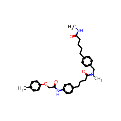 CNC(=O)CCCCc1ccc(CN(C)C(=O)CCCc2ccc(NC(=O)COc3ccc(C)cc3)cc2)cc1